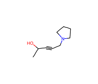 CC(O)C#CCN1CCCC1